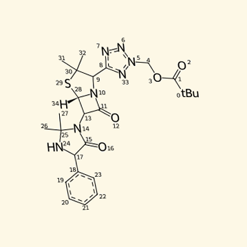 CC(C)(C)C(=O)OCn1nnc(C2N3C(=O)C(N4C(=O)C(c5ccccc5)NC4(C)C)[C@@H]3SC2(C)C)n1